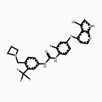 O=C(Nc1ccc(CN2CCC2)c(C(F)(F)F)c1)Nc1ccc(Oc2ccnc3[nH]cc(Cl)c23)cc1F